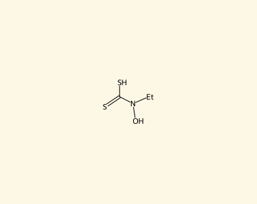 CCN(O)C(=S)S